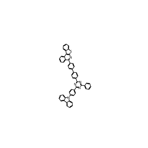 c1ccc(-c2nc(-c3ccc(-c4ccc(-c5nc6sc7ccccc7c6c6ccccc56)cc4)cc3)nc(-c3ccc(-n4c5ccccc5c5ccccc54)cc3)n2)cc1